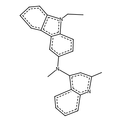 CCn1c2ccccc2c2cc(N(C)c3cc(C)nc4ccccc34)ccc21